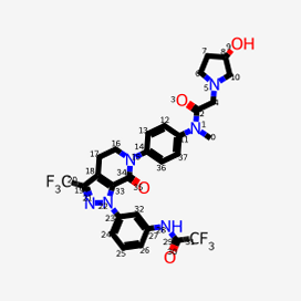 CN(C(=O)CN1CCC(O)C1)c1ccc(N2CCc3c(C(F)(F)F)nn(-c4cccc(NC(=O)C(F)(F)F)c4)c3C2=O)cc1